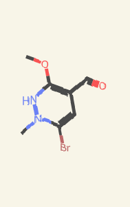 COC1=C(C=O)C=C(Br)N(C)N1